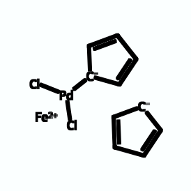 [Cl][Pd]([Cl])[c-]1cccc1.[Fe+2].c1cc[cH-]c1